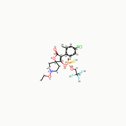 CCON1CCC2(CC1)OC(=O)C(c1ccc(Cl)cc1C)=C2OP(C)(=S)OCC(F)(F)F